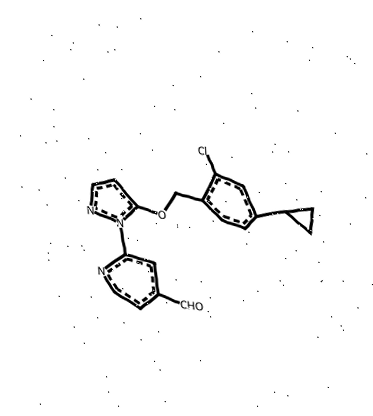 O=Cc1ccnc(-n2nccc2OCc2ccc(C3CC3)cc2Cl)c1